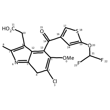 COC1=C(Cl)CC2=NC(C)=C(CC(=O)O)C2=C1C(=O)c1csc(OC(F)F)c1